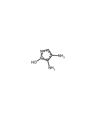 Nc1cnn(O)c1N